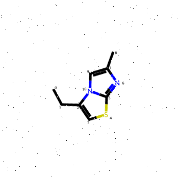 CCc1csc2nc(C)cn12